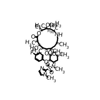 CC[C@H]1OC(=O)[C@H](C)[C@@H](O)[C@H](C)[C@@H](O[C@@H]2O[C@H](C)C[C@H](N(C)S(=O)(=O)c3nccn3C)[C@H]2Oc2ccc(F)cc2)[C@](C)(O)C[C@@H](C)CN[C@H](C)[C@@H](O)[C@]1(C)O